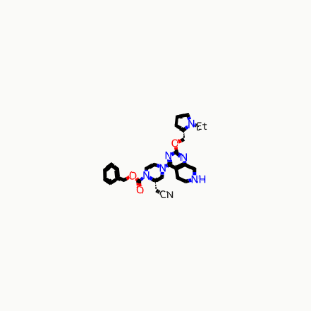 CCN1CCC[C@H]1COc1nc2c(c(N3CCN(C(=O)OCc4ccccc4)[C@@H](CC#N)C3)n1)CCNC2